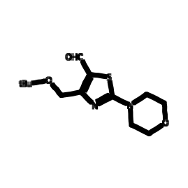 CC(C)(C)OCc1nc(N2CCOCC2)sc1C=O